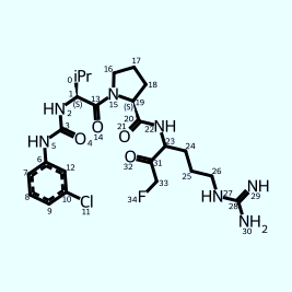 CC(C)[C@H](NC(=O)Nc1cccc(Cl)c1)C(=O)N1CCC[C@H]1C(=O)NC(CCCNC(=N)N)C(=O)CF